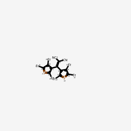 CCc1sc(CC)c(C(=C(C#N)C#N)c2c(CC)sc(CC)c2CC)c1CC